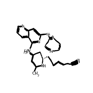 CC1CC(Nc2nc(Nc3cnccn3)cc3ncccc23)C[C@H](CCCCC#N)N1